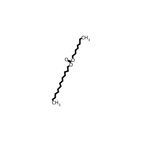 CCCCCCCCCCCCCCOC(=O)OCCCCCCCC